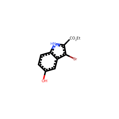 CCOC(=O)c1[nH]c2ccc(O)cc2c1Br